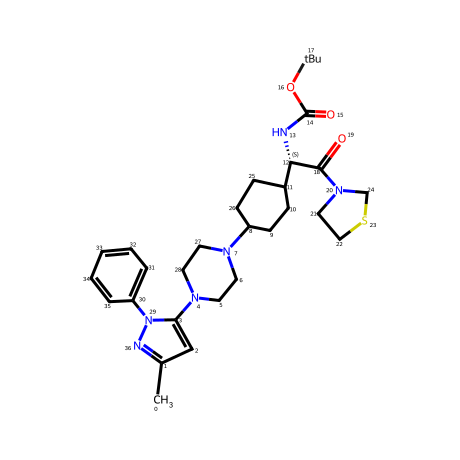 Cc1cc(N2CCN(C3CCC([C@H](NC(=O)OC(C)(C)C)C(=O)N4CCSC4)CC3)CC2)n(-c2ccccc2)n1